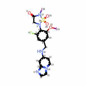 O=C1CN(c2c(F)cc(CNc3ccn4ccnc4c3)cc2OI)S(=O)(=O)N1I